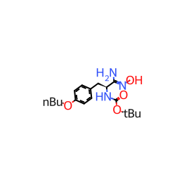 CCCCOc1ccc(C[C@H](NC(=O)OC(C)(C)C)/C(N)=N/O)cc1